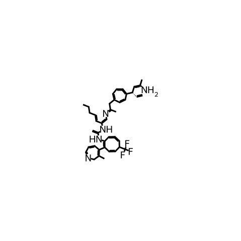 C=C[C@@H](/C=C(/C)N)C1=C=CC=C(C/C(C)=N/C=C(\C=C\CCC)NC(=C)N/C2=C(C3=C(C)CN=CC=C3)/C=C\C(C(F)(F)F)C=C=C2)C=C1